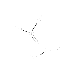 CO.O=[N+]([O-])[O-].[Na+]